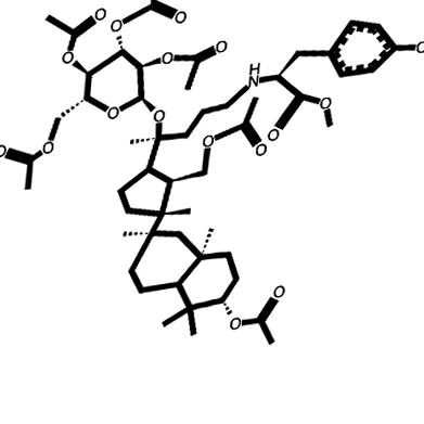 COC(=O)[C@H](Cc1ccc(O)cc1)NCCC[C@](C)(O[C@H]1O[C@H](COC(C)=O)[C@@H](OC(C)=O)[C@H](OC(C)=O)[C@H]1OC(C)=O)C1CC[C@@](C)([C@]2(C)CCC3C(C)(C)[C@@H](OC(C)=O)CC[C@]3(C)C2)[C@@H]1COC(C)=O